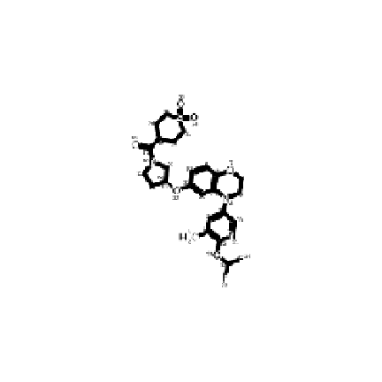 Cc1cc(N2CCOc3ccc(O[C@H]4CCN(C(=O)C5CCS(=O)(=O)CC5)C4)cc32)cnc1OC(F)F